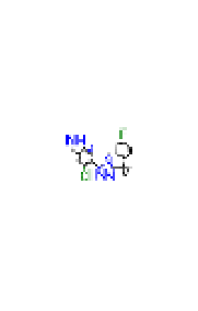 Cn1c(-c2ccc(CN)cc2Cl)nnc1C1(c2ccc(F)cc2)CC1